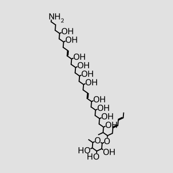 C/C=C/C=C/CC(OC1OC(C)C(O)C(O)C1O)C(C)C(O)CC(O)CC(O)CC(O)/C=C/CC(O)CC(O)CC(O)CC(O)/C=C/CC(O)CC(O)CCCN